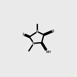 CN1C(=N)C(=S)N(C)C1=S